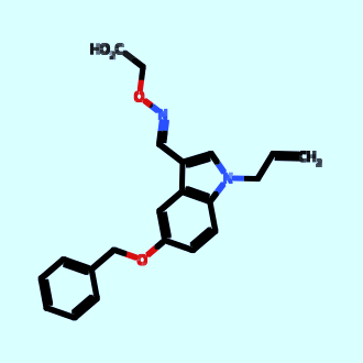 C=CCn1cc(/C=N/OCC(=O)O)c2cc(OCc3ccccc3)ccc21